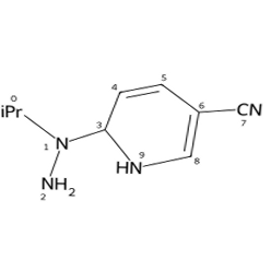 CC(C)N(N)C1C=CC(C#N)=CN1